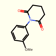 COc1cccc(N2C(=O)CCCC2=O)c1